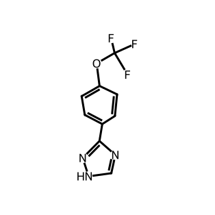 FC(F)(F)Oc1ccc(-c2nc[nH]n2)cc1